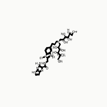 CCn1c(CNC(=O)c2nc3cc[nH]c3nc2N)[n+](CC)c2cc(CCCN(C[C@H](O)[C@@H](O)[C@H](O)[C@H](O)CO)C[C@H](O)[C@@H](O)[C@H](O)[C@H](O)CO)ccc21